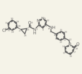 O=C(Nc1cc(NCc2ccc(Cn3ccccc3=O)cc2)cnn1)[C@@H]1C[C@H]1c1cccc(Cl)c1